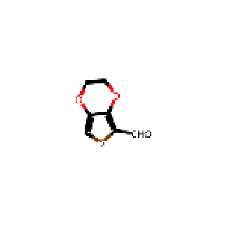 O=Cc1scc2c1OCCO2